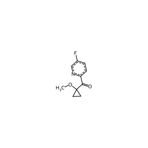 COC1(C(=O)c2ccc(F)cn2)CC1